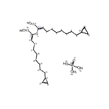 CCCCCCCC/C(=C/CCCCCCCC1CC1)O/C(=C\CCCCCCCC1CC1)CCCCCCCC.O=P(O)(O)O